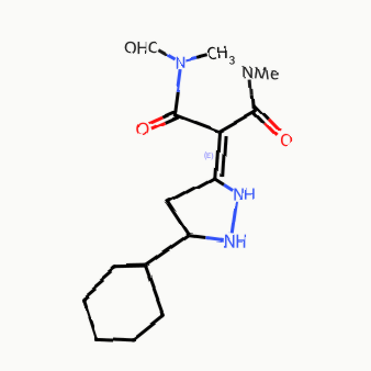 CNC(=O)/C(C(=O)N(C)C=O)=C1/CC(C2CCCCC2)NN1